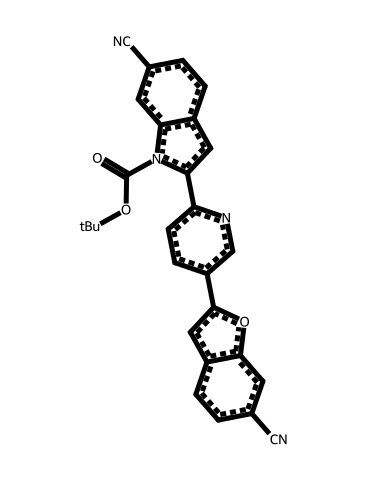 CC(C)(C)OC(=O)n1c(-c2ccc(-c3cc4ccc(C#N)cc4o3)cn2)cc2ccc(C#N)cc21